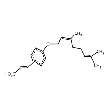 CC(C)=CCCC(C)=CCOc1ccc(C=CC(=O)O)cc1